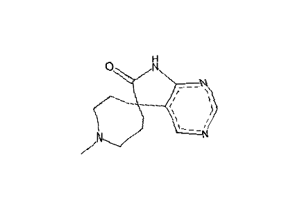 CN1CCC2(CC1)C(=O)Nc1ncncc12